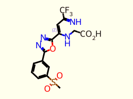 CS(=O)(=O)c1cccc(-c2nnc(/C(=C/C(=N)C(F)(F)F)NCC(=O)O)o2)c1